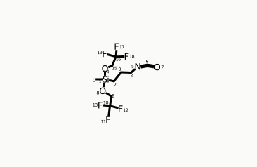 C[Si](CCCN=C=O)(OCC(F)(F)F)OCC(F)(F)F